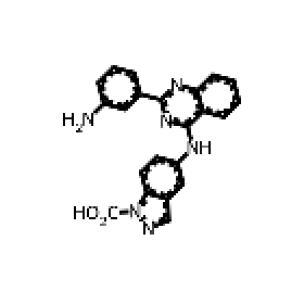 Nc1cccc(-c2nc(Nc3ccc4c(cnn4C(=O)O)c3)c3ccccc3n2)c1